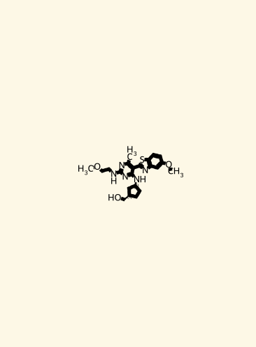 COCCNc1nc(C)c(-c2nc3cc(OC)ccc3s2)c(N[C@H]2CC[C@@H](CO)C2)n1